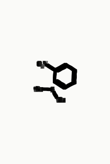 CC(C)(C)SC(C)(C)C.O=[N+]([O-])c1ccccc1